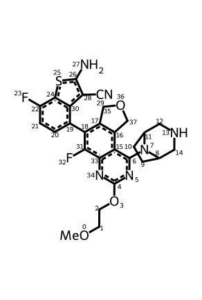 COCCOc1nc(N2C3CCC2CNC3)c2c3c(c(-c4ccc(F)c5sc(N)c(C#N)c45)c(F)c2n1)COC3